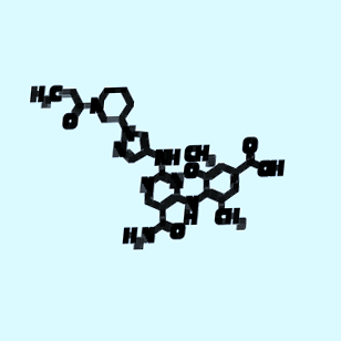 C=CC(=O)N1CCCC(n2cc(Nc3ncc(C(N)=O)c(Nc4c(C)cc(C(=O)O)cc4OC)n3)cn2)C1